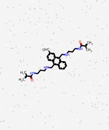 C=C(C)C(=O)NCCCNCc1c2ccccc2c(CNCCCNC(=O)C(=C)C)c2cc(C=O)ccc12